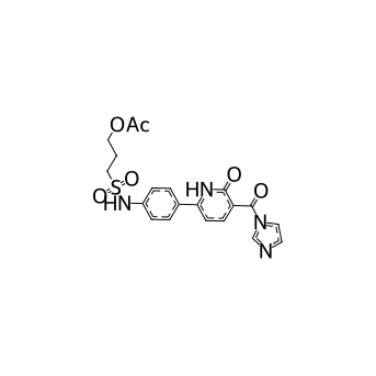 CC(=O)OCCCS(=O)(=O)Nc1ccc(-c2ccc(C(=O)n3ccnc3)c(=O)[nH]2)cc1